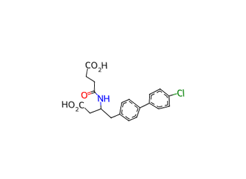 O=C(O)CCC(=O)NC(CC(=O)O)Cc1ccc(-c2ccc(Cl)cc2)cc1